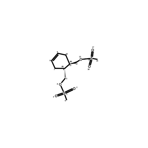 CS(=O)(=O)OC[C@@H]1CC=CC[C@H]1COS(C)(=O)=O